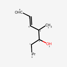 CC(C)CC(O)C(C)C=CC=O